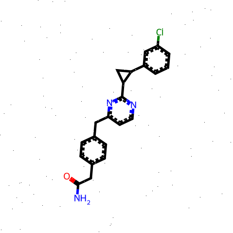 NC(=O)Cc1ccc(Cc2ccnc(C3CC3c3cccc(Cl)c3)n2)cc1